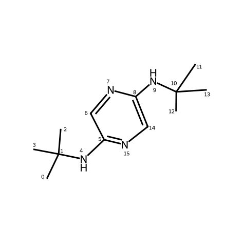 CC(C)(C)Nc1cnc(NC(C)(C)C)cn1